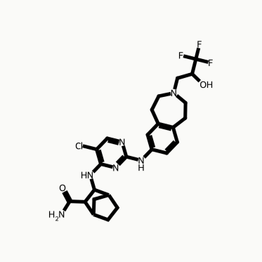 NC(=O)C1C2CCC(C2)C1Nc1nc(Nc2ccc3c(c2)CCN(CC(O)C(F)(F)F)CC3)ncc1Cl